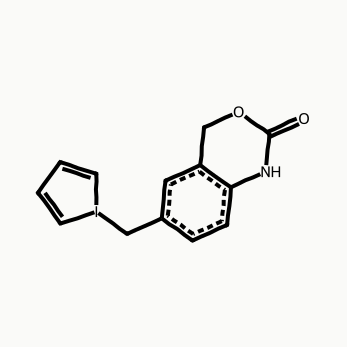 O=C1Nc2ccc(CI3C=CC=C3)cc2CO1